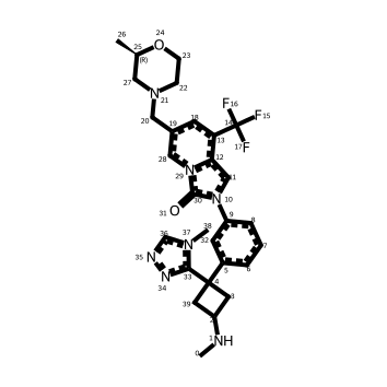 CNC1CC(c2cccc(-n3cc4c(C(F)(F)F)cc(CN5CCO[C@H](C)C5)cn4c3=O)c2)(c2nncn2C)C1